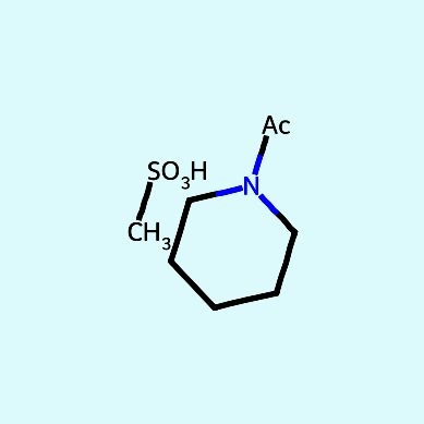 CC(=O)N1CCCCC1.CS(=O)(=O)O